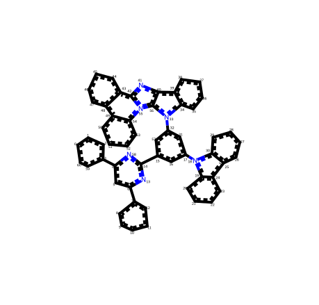 c1ccc(-c2cc(-c3ccccc3)nc(-c3cc(-n4c5ccccc5c5ccccc54)cc(-n4c5ccccc5c5nc6c7ccccc7c7ccccc7n6c54)c3)n2)cc1